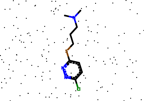 CN(C)CCCSc1ccc(Cl)nn1